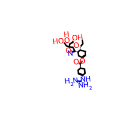 CCC[C@@H]1CC=C(OC(=O)[C@@H]2CC=C(NC(N)N)CC2)C[C@@H]1C1=NOC(CC(=O)O)(CC(O)O)C1